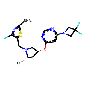 CC(=O)Nc1nc(F)c(CN2C[C@H](Oc3cc(N4CC(F)(F)C4)ncn3)C[C@@H]2C)s1